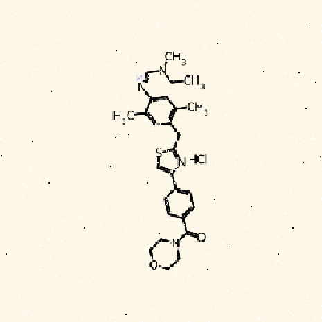 CCN(C)/C=N\c1cc(C)c(Cc2nc(-c3ccc(C(=O)N4CCOCC4)cc3)cs2)cc1C.Cl